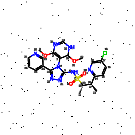 COC1=C(n2c(NS(=O)(=O)[C@@H](C)[C@H](C)c3ccc(Cl)cn3)nnc2-c2cccnc2)C(OC)NC=N1